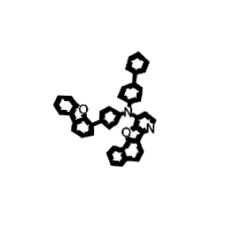 c1ccc(-c2ccc(N(c3ccc(-c4cccc5c4oc4ccccc45)cc3)c3ccnc4c3oc3c5ccccc5ccc43)cc2)cc1